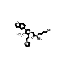 CCCCN(CCCCN)C(=O)CN1C[C@H](c2ccc3c(c2)CCO3)[C@@H](C(=O)O)[C@@H]1CCn1cccn1